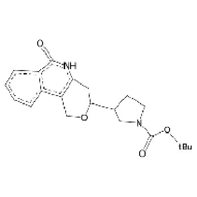 CC(C)(C)OC(=O)N1CCC(C2Cc3[nH]c(=O)c4ccccc4c3CO2)C1